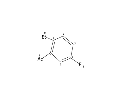 CCc1ccc(F)cc1C(C)=O